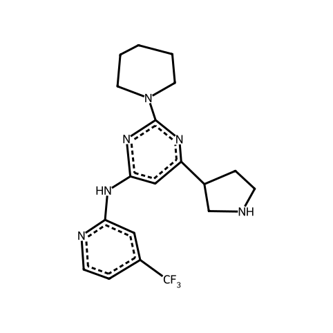 FC(F)(F)c1ccnc(Nc2cc(C3CCNC3)nc(N3CCCCC3)n2)c1